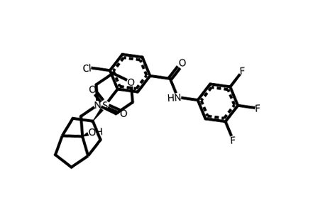 O=C(Nc1cc(F)c(F)c(F)c1)c1ccc(Cl)c(S(=O)(=O)[C@H]2CC3CCC(C2)[C@]3(O)CN2CCOCC2)c1